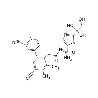 Cc1c(C#N)cc(-c2ccnc(C#N)c2)c(CC(=O)N=S(N)(=O)c2cnc(C(O)(O)CO)s2)c1C